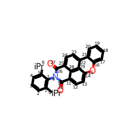 CC(C)c1cccc(C(C)C)c1-n1c(=O)c2ccc3oc4ccccc4c4ccc(c1=O)c2c34